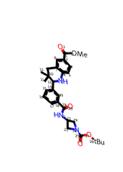 COC(=O)c1ccc2c(c1)CC(C)(C)C(c1cccc(C(=O)NC3CN(C(=O)OC(C)(C)C)C3)c1)N2